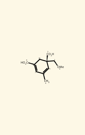 COC[C@]1(C(=O)O)C=C(C)C=C(C(=O)O)C1